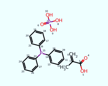 C=C(C)C(=O)O.O=P(O)(O)O.c1ccc(P(c2ccccc2)c2ccccc2)cc1